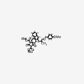 COc1ccc(COC[C@H](C)CC2=Cc3ccccc3C23CCC2(CC3)C(=O)N(C(=O)OC(C)(C)C)C(=O)N2C(=O)OC(C)(C)C)cc1